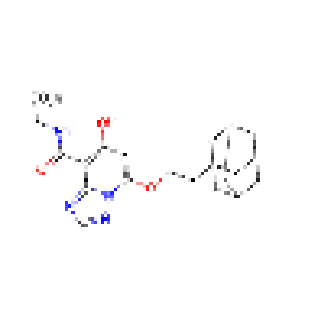 O=C(O)CNC(=O)c1c(O)cc(OCCC23CC4CC(CC(C4)C2)C3)n2ncnc12